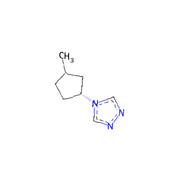 CC1CC[C@@H](n2cnnc2)C1